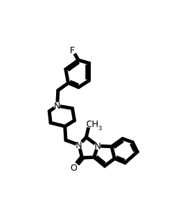 CC1N(CC2CCN(Cc3cccc(F)c3)CC2)C(=O)c2cc3ccccc3n21